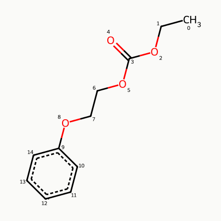 CCOC(=O)OCCOc1cc[c]cc1